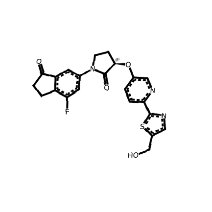 O=C1CCc2c(F)cc(N3CC[C@@H](Oc4ccc(-c5ncc(CO)s5)nc4)C3=O)cc21